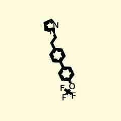 FC(F)(F)Oc1ccc(-c2ccc(CCn3cccn3)cc2)cc1